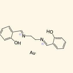 Oc1ccccc1/C=N/CC/N=C/c1ccccc1O.[Au]